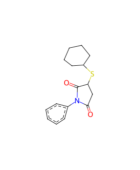 O=C1CC(SC2CCCCC2)C(=O)N1c1ccccc1